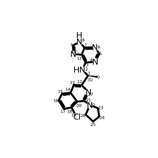 C[C@H](Nc1ncnc2[nH]cnc12)c1cc2cccc(Cl)c2c(N2CCCC2)n1